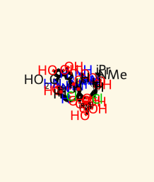 CN[C@H](CC(C)C)C(=O)N[C@H]1C(=O)N[C@@H](CC(N)=O)C(=O)N[C@H]2C(=S)N[C@H]3C(=O)N[C@H](C(=O)N[C@H](C(=O)O)C4=CC(O)CC(O)=C4C4CC3=CC=C4CO)[C@H](O)C3=CC=C(Oc4cc2cc(c4O[C@H]2OC(CO)C(O)[C@H](O)C2O)OC2=C(Cl)C=C(CC2)[C@H]1O)C(Cl)C3